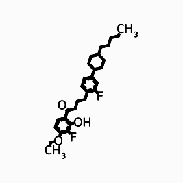 CCCCCC1CCC(c2ccc(CCCC(=O)c3ccc(OCC)c(F)c3O)c(F)c2)CC1